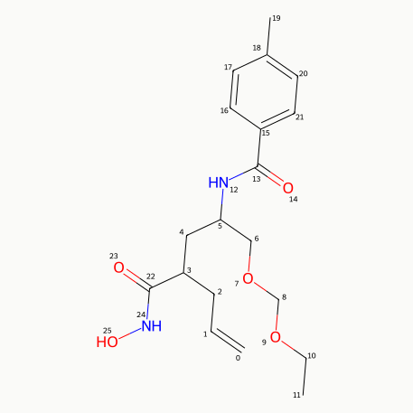 C=CCC(CC(COCOCC)NC(=O)c1ccc(C)cc1)C(=O)NO